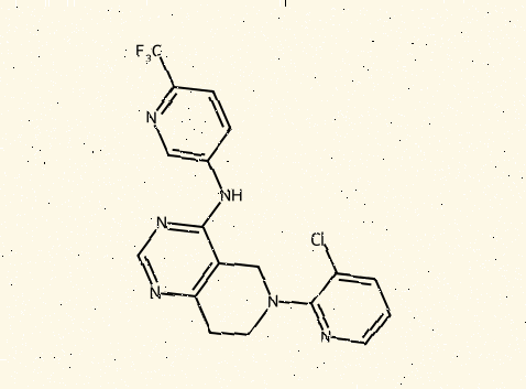 FC(F)(F)c1ccc(Nc2ncnc3c2CN(c2ncccc2Cl)CC3)cn1